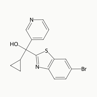 OC(c1cccnc1)(c1nc2ccc(Br)cc2s1)C1CC1